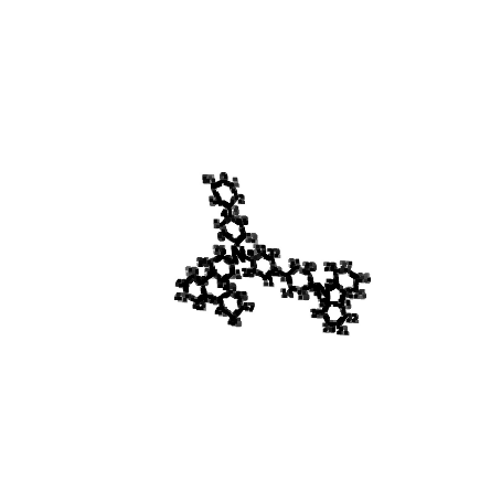 c1ccc(-c2ccc(N(c3ccc(-c4ccc(-n5c6ccccc6c6ccccc65)cc4)cc3)c3ccc(-c4ccccc4-c4ccccc4)cc3)cc2)cc1